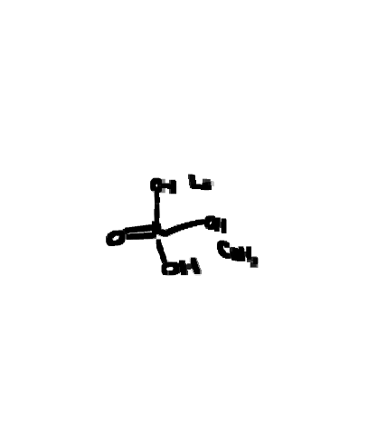 O=P(O)(O)O.[CaH2].[La]